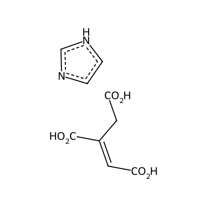 O=C(O)C=C(CC(=O)O)C(=O)O.c1c[nH]cn1